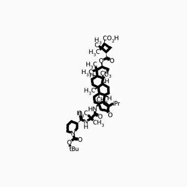 CC(C)C1=C2[C@H]3CC[C@@H]4[C@@]5(C)CC[C@H](OC(=O)[C@H]6C[C@@H](C(=O)O)C6(C)C)C(C)(C)[C@@H]5CC[C@@]4(C)[C@]3(C)CC[C@@]2(NC(=O)C(C)(C)NC(=O)[C@H]2CCCN(C(=O)OC(C)(C)C)C2)CC1=O